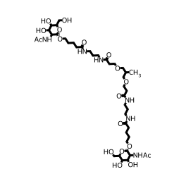 CC(=O)NC1C(O)C(O)C(CO)O[C@@H]1OCCCCC(=O)NCCCNC(=O)CCOCC(C)COCCC(=O)NCCCNC(=O)CCCCO[C@H]1OC(CO)C(O)C(O)C1NC(C)=O